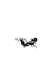 CN(C)Cc1ccc(C(=O)C2CCN(C(=O)CC(C)(C)Cc3nc4ccccc4c(=O)[nH]3)CC2)cc1